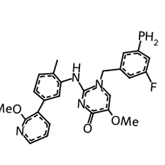 COc1ncccc1-c1ccc(C)c(Nc2nc(=O)c(OC)cn2Cc2cc(F)cc(P)c2)c1